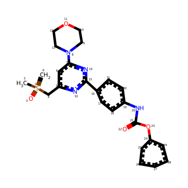 C=S(C)(=O)Cc1cc(N2CCOCC2)nc(-c2ccc(NC(=O)Oc3ccccc3)cc2)n1